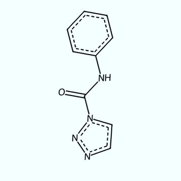 O=C(Nc1ccccc1)n1ccnn1